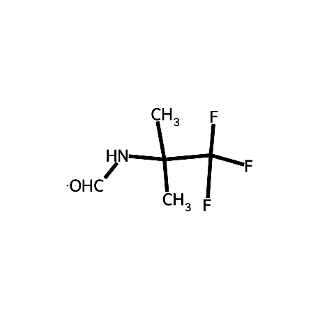 CC(C)(N[C]=O)C(F)(F)F